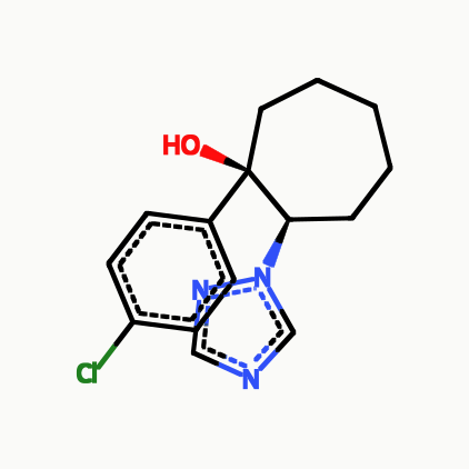 O[C@@]1(c2ccc(Cl)cc2)CCCCC[C@H]1n1cncn1